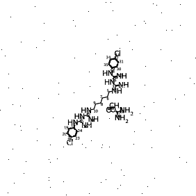 C=O.N=C(NCCCCCCNC(=N)NC(=N)Nc1ccc(Cl)cc1)NC(=N)Nc1ccc(Cl)cc1.NC(N)=O